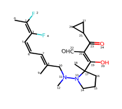 C\C(F)=C(F)/C=C\C=C(/C)CN(C)N1CCCC1(C)/C(O)=C(\C=O)C(=O)C1CC1